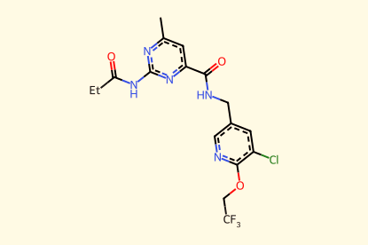 CCC(=O)Nc1nc(C)cc(C(=O)NCc2cnc(OCC(F)(F)F)c(Cl)c2)n1